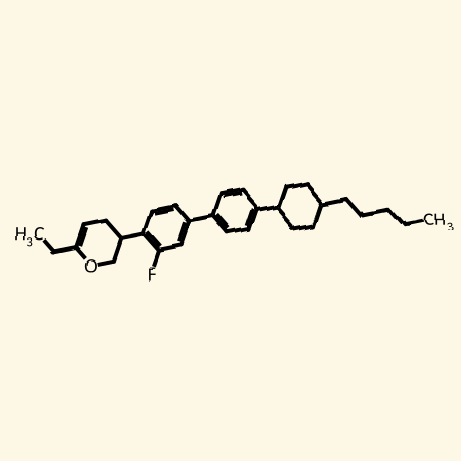 CCCCCC1CCC(c2ccc(-c3ccc(C4CC=C(CC)OC4)c(F)c3)cc2)CC1